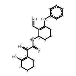 N=CC1=C(Nc2ccccc2)CCCC1NC(=O)C(=N)C1=C(O)CCCC1